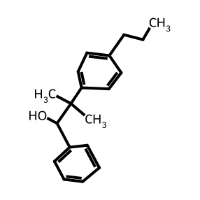 CCCc1ccc(C(C)(C)C(O)c2ccccc2)cc1